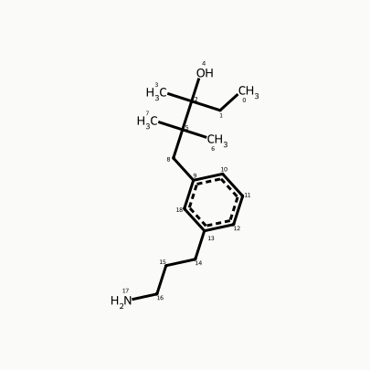 CCC(C)(O)C(C)(C)Cc1cccc(CCCN)c1